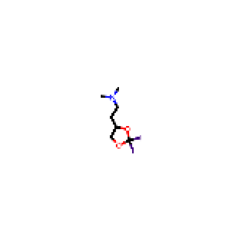 CN(C)CCC1COC(I)(I)O1